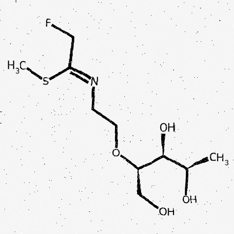 CS/C(CF)=N\CCO[C@H](CO)[C@@H](O)[C@@H](C)O